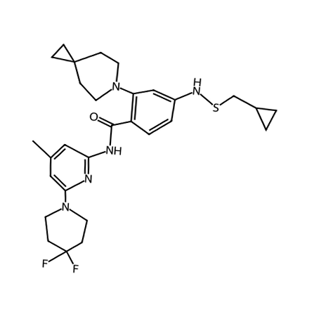 Cc1cc(NC(=O)c2ccc(NSCC3CC3)cc2N2CCC3(CC2)CC3)nc(N2CCC(F)(F)CC2)c1